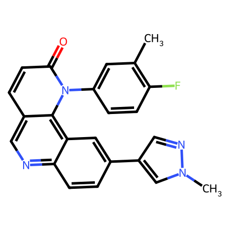 Cc1cc(-n2c(=O)ccc3cnc4ccc(-c5cnn(C)c5)cc4c32)ccc1F